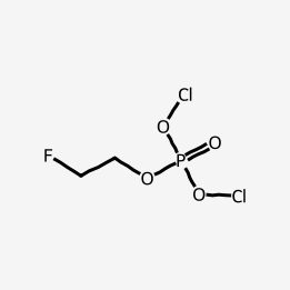 O=P(OCl)(OCl)OCCF